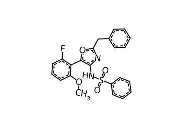 COc1cccc(F)c1-c1oc(Cc2ccccc2)nc1NS(=O)(=O)c1ccccc1